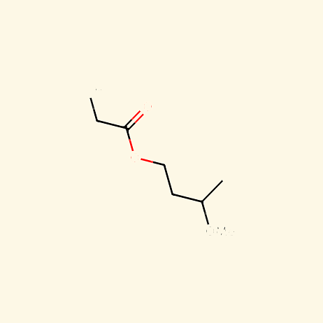 COC(C)CCOC(=O)CC(C)C